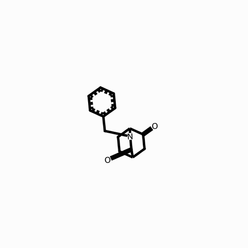 O=C1CC2CCC1N(Cc1ccccc1)C2=O